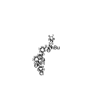 CCCCN(CCN1CCCC1)C(=O)Cc1cccc(CN2Cc3cccc(NC(=O)c4ccc(Cl)s4)c3C2=O)c1